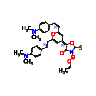 C=COON1C(=O)/C(=C2C=C(/C=C\c3ccc(N(C)C)cc3)OC(/C=C/c3ccc(N(C)C)cc3)=C/2)OC1=S